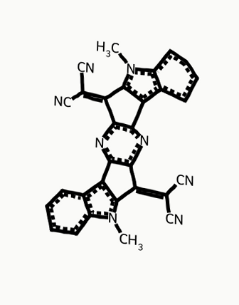 Cn1c2c(c3ccccc31)-c1nc3c(nc1C2=C(C#N)C#N)-c1c(n(C)c2ccccc12)C3=C(C#N)C#N